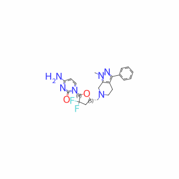 Cn1nc(-c2ccccc2)c2c1CN(C[C@@H]1CC(F)(F)[C@H](n3ccc(N)nc3=O)O1)CC2